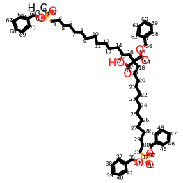 CP(=O)(CCCCCCCCCCCCCCC(CCCCCCCCCCCCCCP(=O)(OCc1ccccc1)OCc1ccccc1)(C(=O)O)C(=O)OCc1ccccc1)OCc1ccccc1